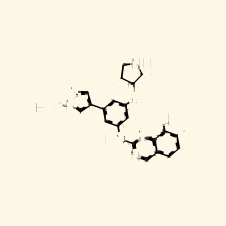 Cn1cc(-c2cc(Nc3ncc4cccc(Cl)c4n3)cc(O[C@H]3CCNC3)c2)cn1